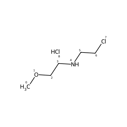 COCCNCCCl.Cl